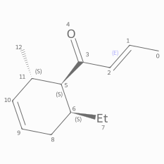 C/C=C/C(=O)[C@H]1[C@@H](CC)CC=C[C@@H]1C